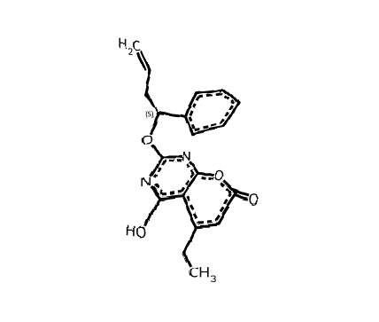 C=CC[C@H](Oc1nc(O)c2c(CC)cc(=O)oc2n1)c1ccccc1